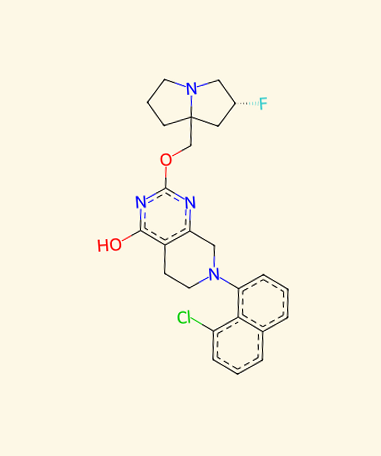 Oc1nc(OCC23CCCN2C[C@H](F)C3)nc2c1CCN(c1cccc3cccc(Cl)c13)C2